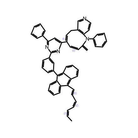 C=C1/C=C\C(c2cc(-c3ccccc3)nc(-c3cccc(-c4c5ccccc5c(/C=C/C=C\C=C/C)c5ccccc45)c3)n2)=C/Cc2cnccc2N1c1ccccc1